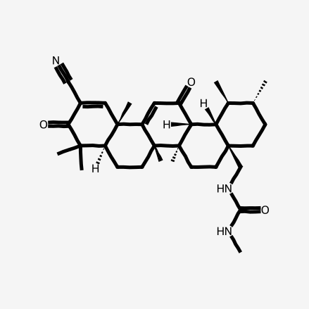 CNC(=O)NC[C@]12CC[C@@H](C)[C@H](C)[C@H]1[C@H]1C(=O)C=C3[C@@]4(C)C=C(C#N)C(=O)C(C)(C)[C@@H]4CC[C@@]3(C)[C@]1(C)CC2